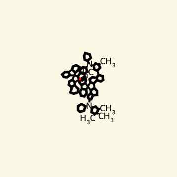 Cc1cc(-c2cccc3c4c(ccc23)C2(c3ccccc3-c3ccccc32)c2c-4ccc3cc(N(c4ccccc4)c4cc(C)c(C)c(C)c4)ccc23)c(C)c(N(c2ccccc2)c2ccc3c4c(ccc3c2)-c2c(ccc3ccccc23)C42c3ccccc3-c3ccccc32)c1